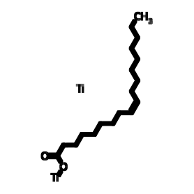 CCCCCCCC/C=C\CCCCCCCC(=O)[O][Ti].[Ti]